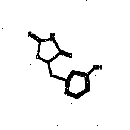 O=C1NC(=S)OC1Cc1cccc(O)c1